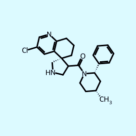 C[C@@H]1CCN(C(=O)C2CNC[C@]23CCCc2ncc(Cl)cc23)[C@H](c2ccccc2)C1